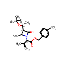 C=C(C)[C@H](C(=O)OCc1ccc([N+](=O)[O-])cc1)N1C(=O)[C@H]([C@@H](C)O[Si](C)(C)C(C)(C)C)C1OC(C)=O